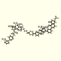 Cc1ncsc1-c1ccc(CNC(=O)[C@@H]2C[C@@H](O)CN2C(=O)[C@@H](NC(=O)CCCCN2CCN(c3ccc(Nc4nc(-c5cccc(-n6ccc7cc(C8CC8)cc(F)c7c6=O)c5CO)cn(C)c4=O)nc3)CC2)C(C)(C)C)cc1